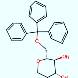 O[C@H]1[C@H](O)CCO[C@@H]1COC(c1ccccc1)(c1ccccc1)c1ccccc1